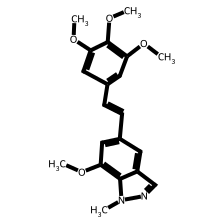 COc1cc(/C=C/c2cc(OC)c3c(cnn3C)c2)cc(OC)c1OC